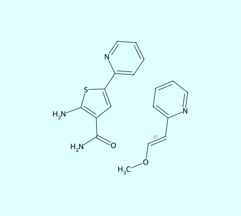 CO/C=C/c1ccccn1.NC(=O)c1cc(-c2ccccn2)sc1N